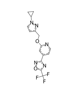 FC(F)(F)c1nc(-c2ccnc(OCc3ccn(C4CC4)n3)c2)no1